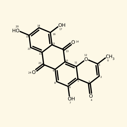 Cc1cc(=O)c2c(O)cc3c(c2o1)C(=O)c1c(O)cc(O)cc1C3=O